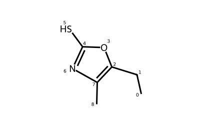 CCc1oc(S)nc1C